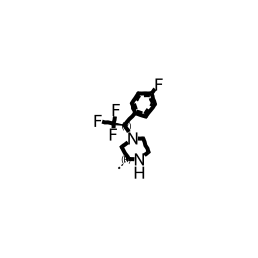 C[C@@H]1CN([C@H](c2ccc(F)cc2)C(F)(F)F)CCN1